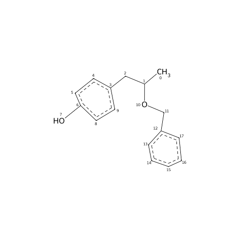 CC(Cc1ccc(O)cc1)OCc1ccccc1